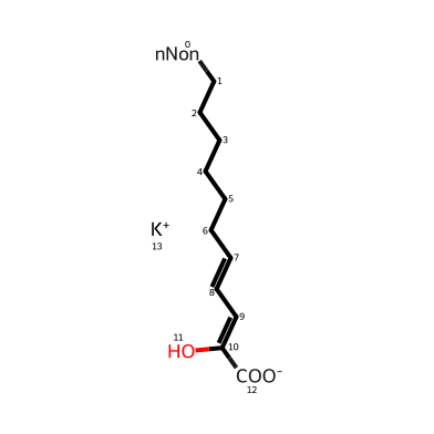 CCCCCCCCCCCCCCCC=CC=C(O)C(=O)[O-].[K+]